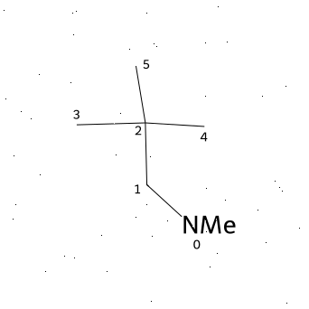 [CH2]NCC(C)(C)C